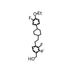 CCOc1ccc(C2CCC(CCc3ccc(CO)c(F)c3F)CC2)cc1F